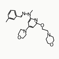 Cc1cccc(/C=N/N(C)c2cc(N3CCOCC3)cc(OCCN3CCOCC3)n2)c1